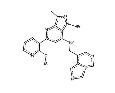 CCOc1ncccc1-c1cc(NCc2cncn3cncc23)c2c(n1)c(C)nn2C(C)C